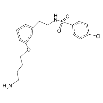 NCCCCOc1cccc(CCNS(=O)(=O)c2ccc(Cl)cc2)c1